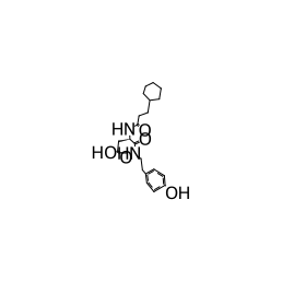 O=C(O)C[C@@H](NC(=O)CCC1CCCCC1)C(=O)NCCc1ccc(O)cc1